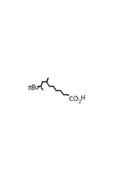 CCCCC(C)CC(C)CCCCCCC(=O)O